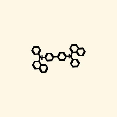 C1=Cc2ccccc2C(N(c2ccccc2)c2ccc(-c3ccc(N(c4ccccc4)c4cccc5ccccc45)cc3)cc2)C1